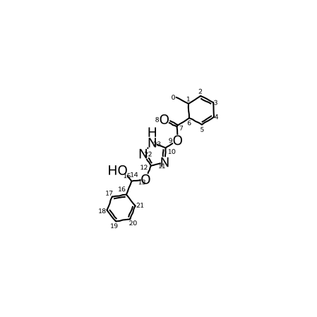 CC1C=CC=CC1C(=O)Oc1nc(OC(O)c2ccccc2)n[nH]1